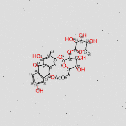 CC(=O)OCC1OC(Oc2cc3c(c(O)c2C)C(=O)c2ccc(O)cc2C3=O)C(OC2OC(C)C(O)C(O)C2O)C(O)C1O